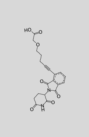 O=C(O)COCCCC#Cc1cccc2c1C(=O)N(C1CCC(=O)NC1=O)C2=O